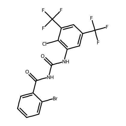 O=C(NC(=O)c1ccccc1Br)Nc1cc(C(F)(F)F)cc(C(F)(F)F)c1Cl